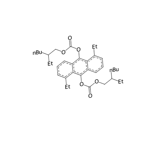 CCCCC(CC)COC(=O)Oc1c2cccc(CC)c2c(OC(=O)OCC(CC)CCCC)c2cccc(CC)c12